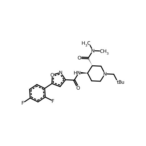 CN(C)C(=O)[C@@H]1CN(CC(C)(C)C)CC[C@H]1NC(=O)c1cc(-c2ccc(F)cc2F)on1